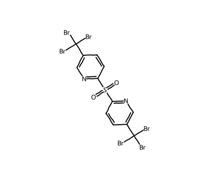 O=S(=O)(c1ccc(C(Br)(Br)Br)cn1)c1ccc(C(Br)(Br)Br)cn1